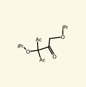 CC(=O)C(OC(C)C)(C(C)=O)C(=O)COC(C)C